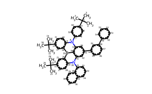 CC(C)(C)c1ccc(N2c3ccc(C(C)(C)C)cc3B3c4cc(C(C)(C)C)ccc4N(c4cccc5ccccc45)c4cc(-c5cccc(-c6ccccc6)c5)cc2c43)cc1